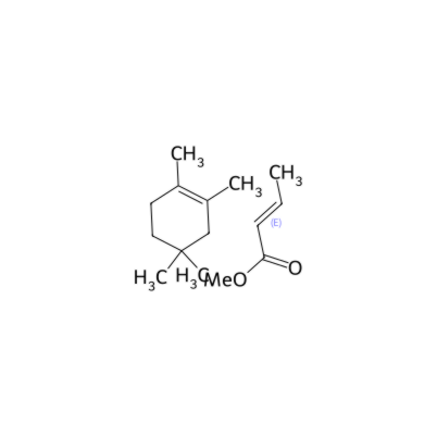 C/C=C/C(=O)OC.CC1=C(C)CC(C)(C)CC1